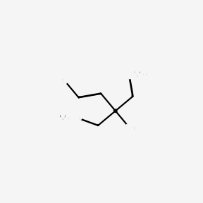 CCC(CCC(C)C)(COC)COC